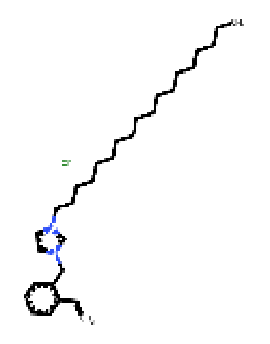 C=Cc1ccccc1C[n+]1ccn(CCCCCCCCCCCCCCCCCC)c1.[Cl-]